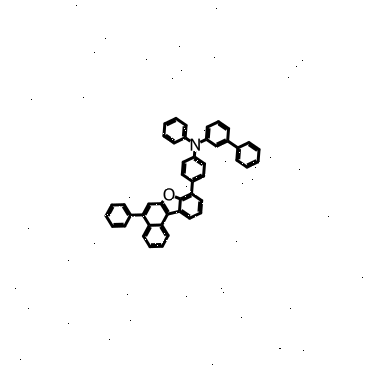 c1ccc(-c2cccc(N(c3ccccc3)c3ccc(-c4cccc5c4oc4cc(-c6ccccc6)c6ccccc6c45)cc3)c2)cc1